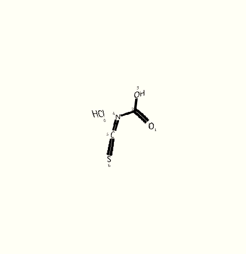 Cl.O=C(O)N=C=S